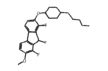 CCCCCC1CCC(Oc2ccc3c(c2F)C(F)c2c-3ccc(OC)c2F)CC1